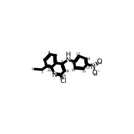 CCc1cccc2c(Nc3ccc([N+](=O)[O-])cc3)cc(Cl)nc12